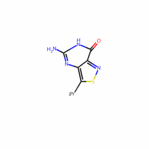 CC(C)c1snc2c(=O)[nH]c(N)nc12